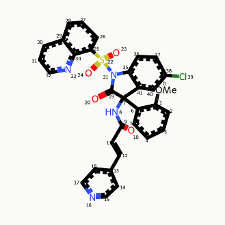 COc1ccccc1C1(NC(=O)/C=C/c2ccncc2)C(=O)N(S(=O)(=O)c2cccc3cccnc23)c2ccc(Cl)cc21